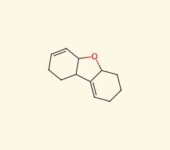 C1=CC2OC3CCCC=C3C2CC1